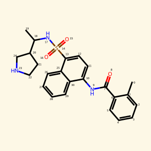 Cc1ccccc1C(=O)Nc1ccc(S(=O)(=O)NC(C)C2CCNC2)c2ccccc12